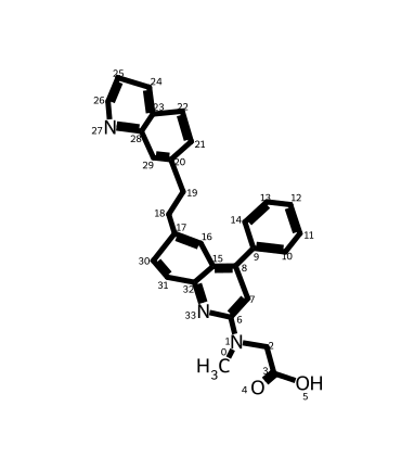 CN(CC(=O)O)c1cc(-c2ccccc2)c2cc(CCc3ccc4cccnc4c3)ccc2n1